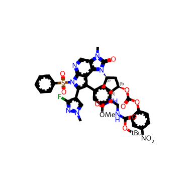 COC(=O)N[C@H]1C[C@H](n2c(=O)n(C)c3cnc4c(c(-c5ccc(CNC(=O)OC(C)(C)C)cc5)c(-c5cn(C)nc5F)n4S(=O)(=O)c4ccccc4)c32)C[C@H]1OC(=O)Oc1ccc([N+](=O)[O-])cc1